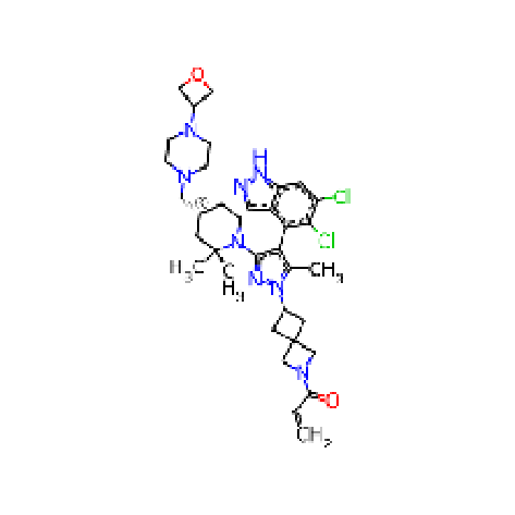 C=CC(=O)N1CC2(CC(n3nc(N4CC[C@@H](CN5CCN(C6COC6)CC5)CC4(C)C)c(-c4c(Cl)c(Cl)cc5[nH]ncc45)c3C)C2)C1